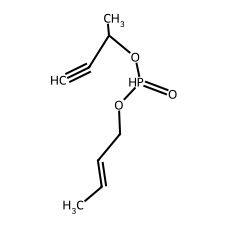 C#CC(C)O[PH](=O)OCC=CC